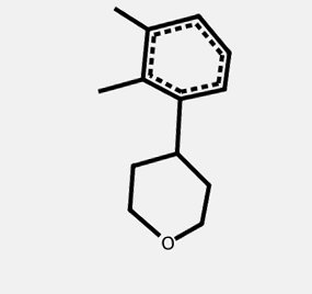 Cc1cccc(C2CCOCC2)c1C